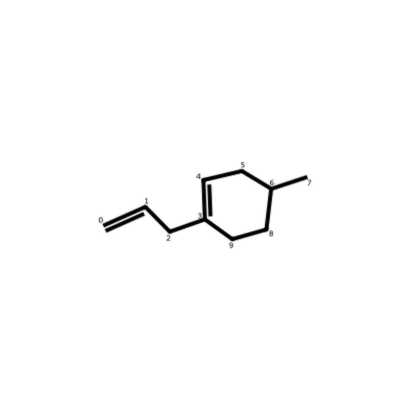 C=CCC1=CCC(C)CC1